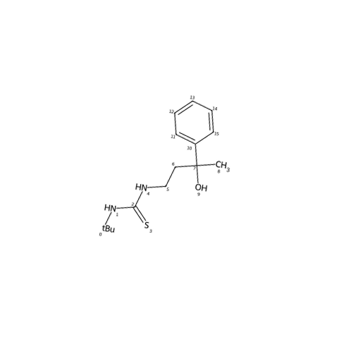 CC(C)(C)NC(=S)NCCC(C)(O)c1ccccc1